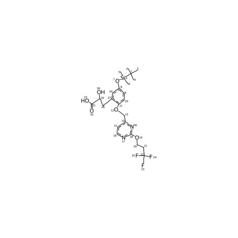 CC(C)(C)[Si](C)(C)Oc1ccc(OCc2ccnc(OCCC(F)(F)F)n2)c(CC(O)C(=O)O)c1